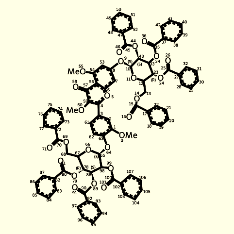 COc1cc(-c2oc3cc(O[C@@H]4OC(COC(=O)c5ccccc5)[C@@H](OC(=O)c5ccccc5)C(OC(=O)c5ccccc5)[C@@H]4OC(=O)c4ccccc4)cc(OC)c3c(=O)c2OC)ccc1O[C@@H]1OC(COC(=O)c2ccccc2)[C@@H](OC(=O)c2ccccc2)[C@H](OC(=O)c2ccccc2)C1OC(=O)c1ccccc1